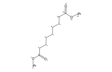 CC(C)OC(=O)CCCCCCCC(=O)OC(C)C